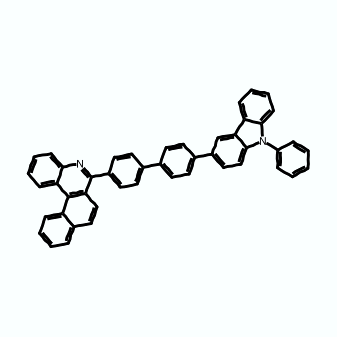 c1ccc(-n2c3ccccc3c3cc(-c4ccc(-c5ccc(-c6nc7ccccc7c7c6ccc6ccccc67)cc5)cc4)ccc32)cc1